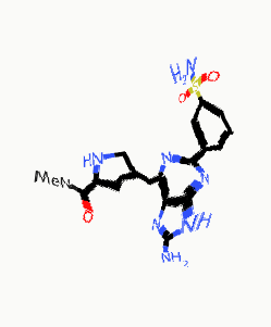 CNC(=O)C1CC(c2nc(-c3cccc(S(N)(=O)=O)c3)nc3[nH]c(N)nc23)CN1